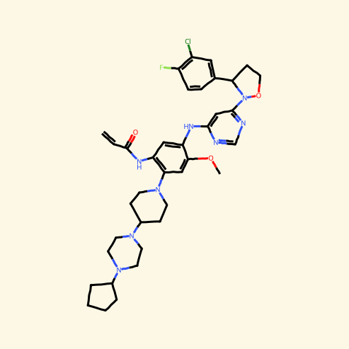 C=CC(=O)Nc1cc(Nc2cc(N3OCCC3c3ccc(F)c(Cl)c3)ncn2)c(OC)cc1N1CCC(N2CCN(C3CCCC3)CC2)CC1